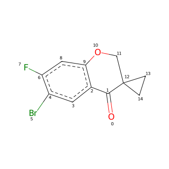 O=C1c2cc(Br)c(F)cc2OCC12CC2